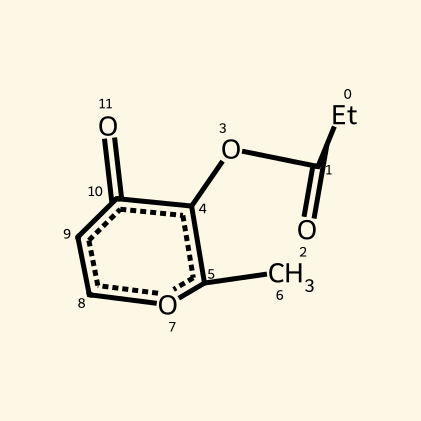 CCC(=O)Oc1c(C)occc1=O